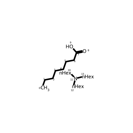 CCCCCCCC(=O)O.CCCCCCN(CCCCCC)CCCCCC